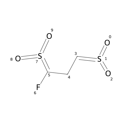 O=S(=O)=CCC(F)=S(=O)=O